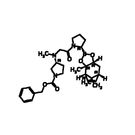 CN(CC(=O)N1CCC[C@H]1B1O[C@@H]2C[C@@H]3C=C[C@@H](C3(C)C)[C@]2(C)O1)[C@@H]1CCN(C(=O)OCc2ccccc2)C1